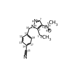 CCc1c([N+](C)=O)cnn1Cc1ccc(C#N)cc1